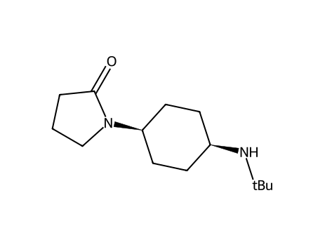 CC(C)(C)N[C@H]1CC[C@@H](N2CCCC2=O)CC1